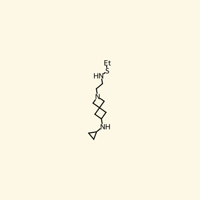 CCSNCCN1CC2(CC(NC3CC3)C2)C1